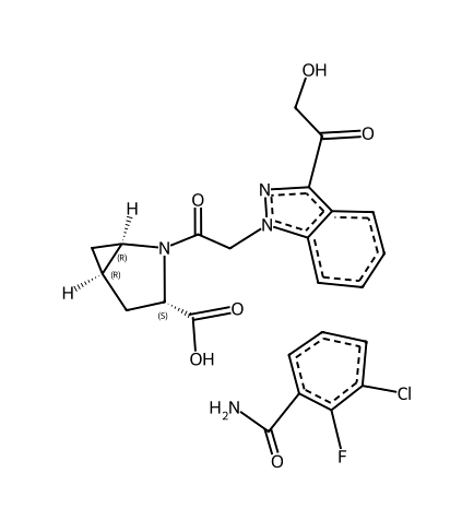 NC(=O)c1cccc(Cl)c1F.O=C(CO)c1nn(CC(=O)N2[C@@H]3C[C@@H]3C[C@H]2C(=O)O)c2ccccc12